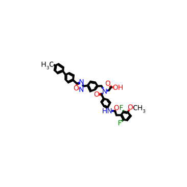 COc1ccc(F)c(CC(=O)Nc2ccc(C(=O)N(CC(=O)O)Cc3ccc(-c4noc(-c5ccc(-c6ccc(C)cc6)cc5)n4)cc3)cc2)c1F